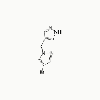 Brc1cnn(Cc2cn[nH]c2)c1